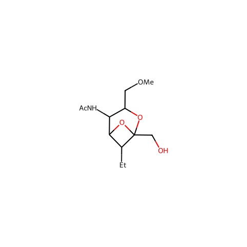 CCC1C2OC1(CO)OC(COC)C2NC(C)=O